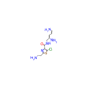 N/C=C\C=C(/N)CNC(=O)c1nc(CCN)sc1Cl